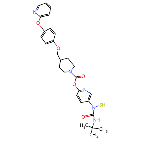 CC(C)(C)NC(=O)N(S)c1ccc(OC(=O)N2CCC(COc3ccc(Oc4ccccn4)cc3)CC2)nc1